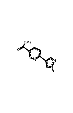 COC(=O)c1ccc(-c2cnn(C)c2)nn1